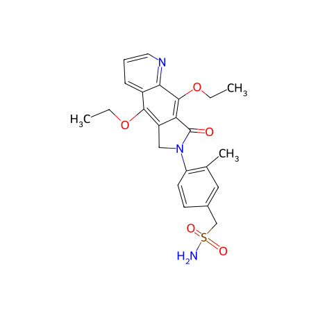 CCOc1c2c(c(OCC)c3ncccc13)C(=O)N(c1ccc(CS(N)(=O)=O)cc1C)C2